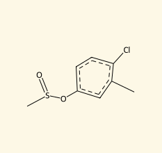 Cc1cc(OS(C)=O)ccc1Cl